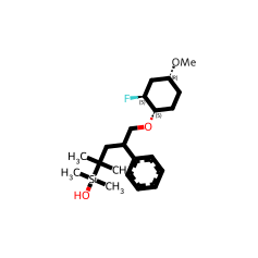 CO[C@@H]1CC[C@H](OCC(CC(C)(C)[Si](C)(C)O)c2ccccc2)[C@@H](F)C1